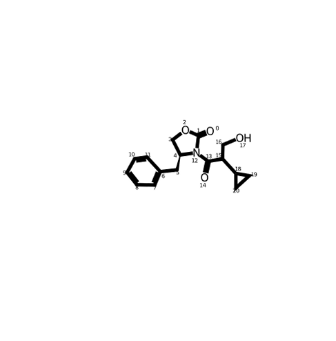 O=C1OC[C@H](Cc2ccccc2)N1C(=O)C(CO)C1CC1